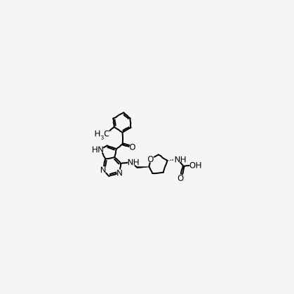 Cc1ccccc1C(=O)c1c[nH]c2ncnc(NC[C@@H]3CC[C@@H](NC(=O)O)CO3)c12